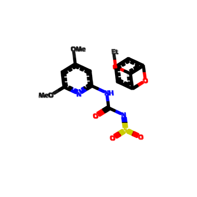 CCOc1c2cccc1O2.COc1cc(NC(=O)N=S(=O)=O)nc(OC)c1